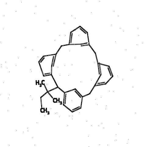 CCC(C)(C)C1c2cccc(c2)Cc2cccc(c2)Cc2cccc(c2)Cc2cccc1c2